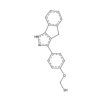 SCOc1ccc(-c2n[nH]c3c2Cc2ccccc2-3)cc1